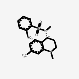 CN1CC[C@@H](N(C)S(=O)(=O)c2ccccc2[N+](=O)[O-])c2ccc(C(F)(F)F)cc21